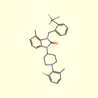 Cc1cccc(F)c1N1CCC(n2c(=O)n(Cc3ccccc3C(F)(F)F)c3c(C)cccc32)CC1